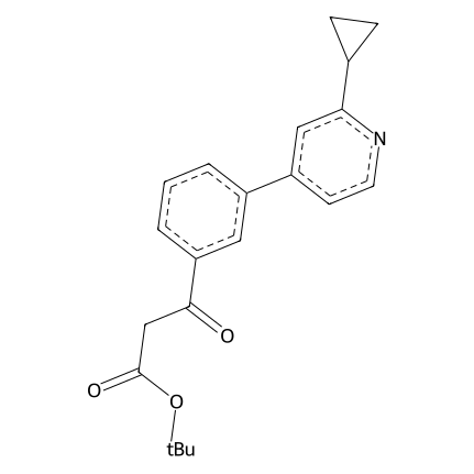 CC(C)(C)OC(=O)CC(=O)c1cccc(-c2ccnc(C3CC3)c2)c1